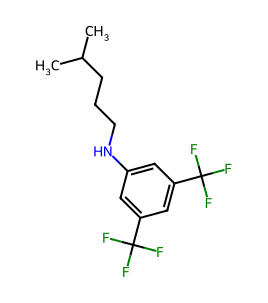 CC(C)CCCNc1cc(C(F)(F)F)cc(C(F)(F)F)c1